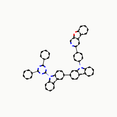 c1ccc(-c2nc(-c3ccccc3)nc(-n3c4ccccc4c4cc(-c5ccc6c7ccccc7n(-c7ccc(-c8cc9c(cn8)oc8ccccc89)cc7)c6c5)ccc43)n2)cc1